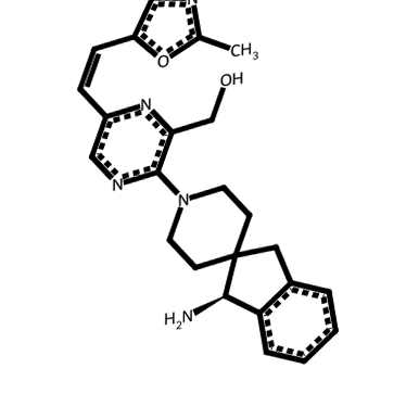 Cc1ncc(/C=C\c2cnc(N3CCC4(CC3)Cc3ccccc3[C@H]4N)c(CO)n2)o1